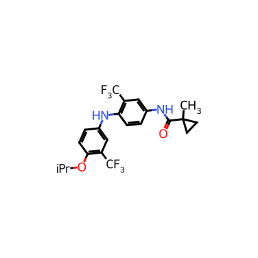 CC(C)Oc1ccc(Nc2ccc(NC(=O)C3(C)CC3)cc2C(F)(F)F)cc1C(F)(F)F